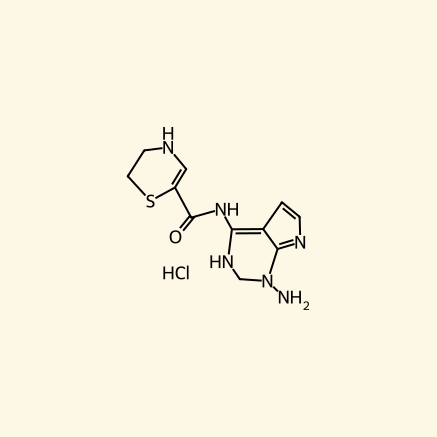 Cl.NN1CNC(NC(=O)C2=CNCCS2)=C2C=CN=C21